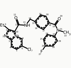 CCc1nc2ccc(Cl)cn2c1C(=O)NCc1ccc(C(=O)N(C)c2ccc(F)cc2)cc1